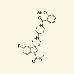 COc1ccccc1C(=O)N1CCC(N2CCC3(CC2)CN(C(=O)N(C)C)c2ccc(F)cc23)CC1